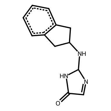 O=C1C=NC(NC2Cc3ccccc3C2)N1